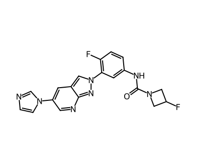 O=C(Nc1ccc(F)c(-n2cc3cc(-n4ccnc4)cnc3n2)c1)N1CC(F)C1